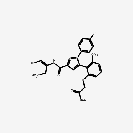 COC(=O)COc1cccc(OC)c1-c1cc(C(=O)N/C(=C/C(C)C)CC(=O)O)nn1-c1ccc(Cl)cc1